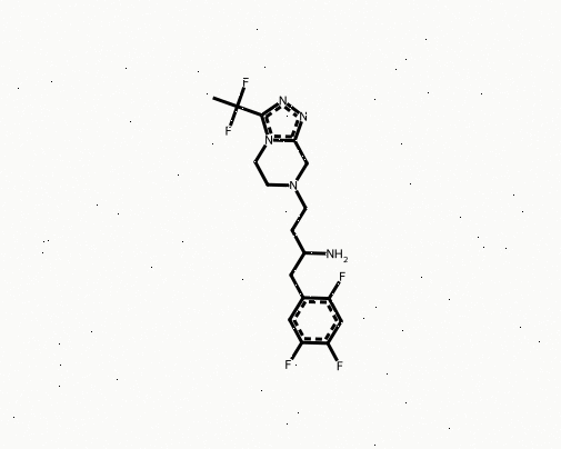 CC(F)(F)c1nnc2n1CCN(CCC(N)Cc1cc(F)c(F)cc1F)C2